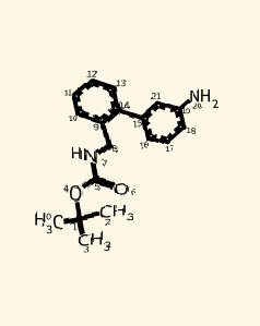 CC(C)(C)OC(=O)NCc1ccccc1-c1cccc(N)c1